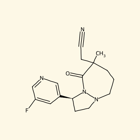 CC1(CC#N)CCCN2CC[C@@H](c3cncc(F)c3)N2C1=O